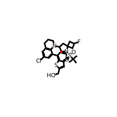 CC(C)(C)S(=O)(=O)N1CC(N2CCCc3cc(Cl)cc(-c4ccnc5cc(CO)sc45)c32)CC12CC(F)C2